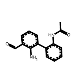 CC(=O)Nc1ccccc1-c1cccc(C=O)c1N